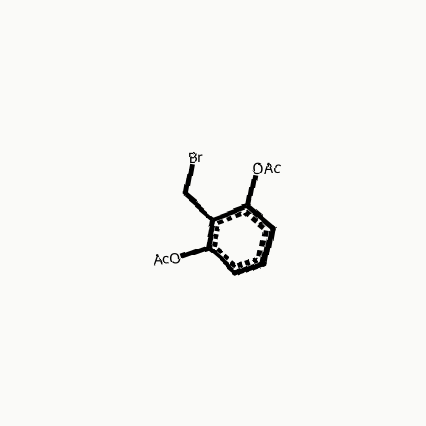 CC(=O)Oc1cccc(OC(C)=O)c1CBr